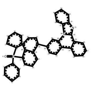 O=P(c1ccccc1)(c1ccccc1)c1cccc2c(-c3ccc4c5ccccc5c5nc6ccccc6n5c4c3)cccc12